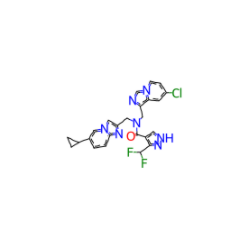 O=C(c1c[nH]nc1C(F)F)N(Cc1cn2cc(C3CC3)ccc2n1)Cc1ncn2ccc(Cl)cc12